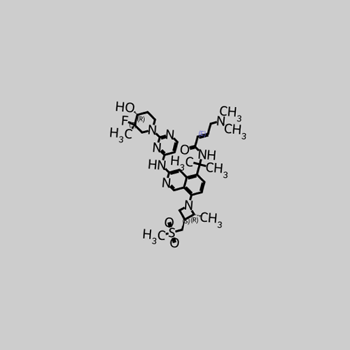 C[C@@H]1[C@@H](CS(C)(=O)=O)CN1c1ccc(C(C)(C)NC(=O)/C=C/CN(C)C)c2cc(Nc3ccnc(N4CC[C@@H](O)[C@@](C)(F)C4)n3)ncc12